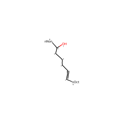 CCCCCCCCC=CCCCC(O)CCCCCCCCC